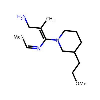 CN/C=N\C(=C(\C)CN)N1CCCC(CCOC)C1